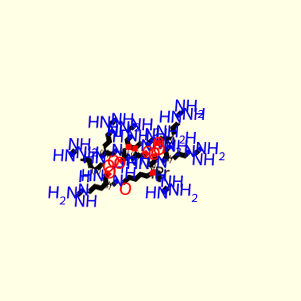 CC(C)CCCCC(=O)NC[C@H](CCCNC(=N)N)C(=O)N[C@@H](CCCNC(=N)N)C(=O)N[C@@H](CCCNC(=N)N)C(=O)N[C@@H](CCCNC(=N)N)C(=O)N[C@@H](CCCNC(=N)N)C(=O)N[C@@H](CCCNC(=N)N)C(=O)N[C@@H](CCCNC(=N)N)C(=O)N[C@@H](CCCNC(=N)N)C(N)=O